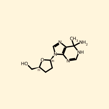 CC1(N)NC=Nc2c1ncn2[C@H]1CC[C@@H](CO)O1